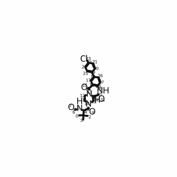 CC(C)(C)C(NC=O)C(=O)N1CCN2C(=O)c3cc(-c4ccc(Cl)cc4)ccc3NC(=O)[C@H]2C1